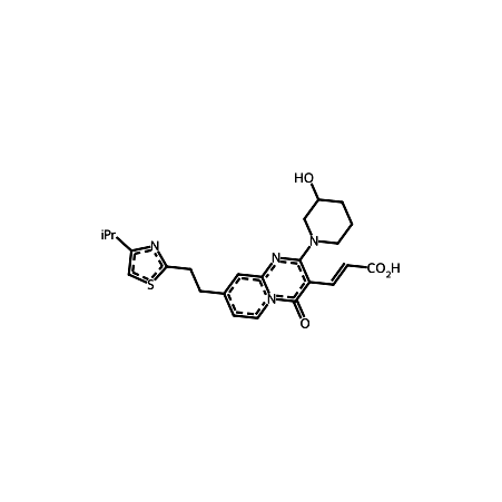 CC(C)c1csc(CCc2ccn3c(=O)c(C=CC(=O)O)c(N4CCCC(O)C4)nc3c2)n1